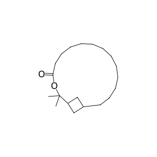 CC1(C)OC(=O)CCCCCCCCCCCCC2CC1C2